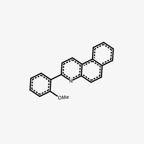 COc1ccccc1-c1ccc2c(ccc3ccccc32)n1